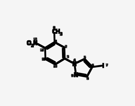 Cc1cc(-n2cc(I)cn2)ccc1[N+](=O)[O-]